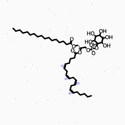 CCCCC/C=C\C/C=C\C/C=C\C/C=C\CCCC(=O)O[C@H](COC(=O)CCCCCCCCCCCCCCCC)COP(=O)(O)OC1C(O)C(O)C(O)[C@@H](O)C1O